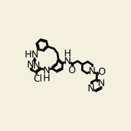 O=C(CC1CCN(C(=O)c2cnccn2)CC1)Nc1ccc2cc1CCc1cccc(c1)Nc1ncc(Cl)c(n1)N2